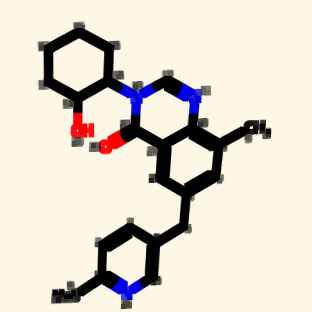 CSc1ccc(Cc2cc(C)c3ncn(C4CCCCC4O)c(=O)c3c2)cn1